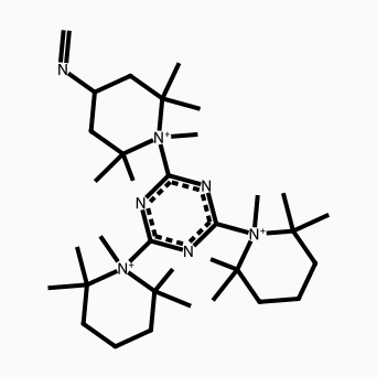 C=NC1CC(C)(C)[N+](C)(c2nc([N+]3(C)C(C)(C)CCCC3(C)C)nc([N+]3(C)C(C)(C)CCCC3(C)C)n2)C(C)(C)C1